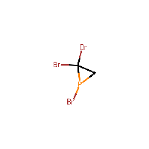 BrP1CC1(Br)Br